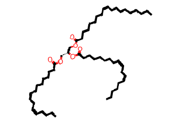 CCCC/C=C\C/C=C\CCCCCCCC(=O)OC[C@H](COC(=O)CCCCCCC/C=C\CCCCCCCCC)OC(=O)CCCCCCC/C=C\C/C=C\CCCCC